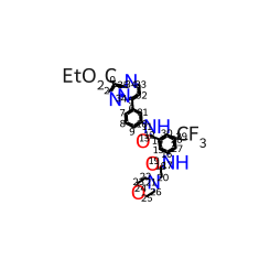 CCOC(=O)c1cnn2c(-c3cccc(NC(=O)c4cc(NC(=O)CN5CCOCC5)cc(C(F)(F)F)c4)c3)ccnc12